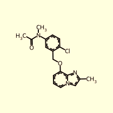 CC(=O)N(C)c1ccc(Cl)c(COc2cccn3cc(C)nc23)c1